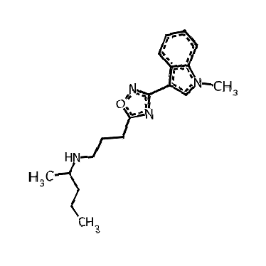 CCCC(C)NCCCc1nc(-c2cn(C)c3ccccc23)no1